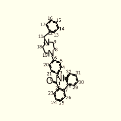 O=C(Nc1ccc(N2CCN(Cc3ccccc3)CC2)cc1)c1ccccc1-c1ccccc1